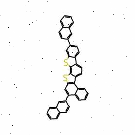 c1ccc2cc(-c3ccc4c(c3)sc3c4ccc4c3sc3cc(-c5ccc6ccccc6c5)c5ccccc5c34)ccc2c1